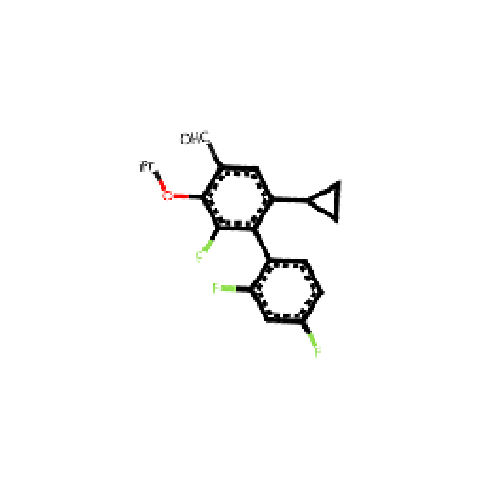 CC(C)Oc1c(C=O)cc(C2CC2)c(-c2ccc(F)cc2F)c1F